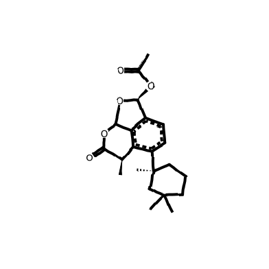 CC(=O)O[C@@H]1OC2OC(=O)[C@H](C)c3c([C@@]4(C)CCCC(C)(C)C4)ccc1c32